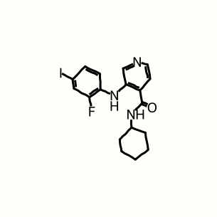 O=C(NC1CCCCC1)c1ccncc1Nc1ccc(I)cc1F